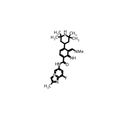 CN/C=C1\C(=N)C(C(=O)Nc2cc(F)c3nc(C)cn3c2)=CC=C1C1CC(C)(C)NC(C)(C)C1